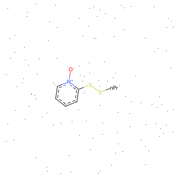 CCCSSc1cccc[n+]1[O-]